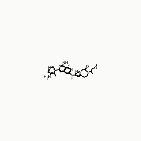 COCC(C)N1CCc2cc(Nc3cc4cc(-c5cncc(N)c5C)nc(N)c4cn3)nn2CC1=O